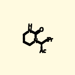 CC(=O)[C@H](C(C)C)N1CCCNC1=O